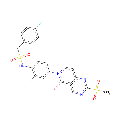 CS(=O)(=O)c1ncc2c(=O)n(-c3ccc(NS(=O)(=O)Cc4ccc(F)cc4)c(F)c3)ccc2n1